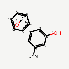 N#Cc1cccc(O)c1.c1cc2ccc1CO2